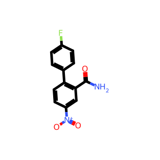 NC(=O)c1cc([N+](=O)[O-])ccc1-c1ccc(F)cc1